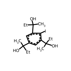 CCC(C)(O)c1cc(C(C)(O)CC)c(I)c(C(C)(O)CC)c1